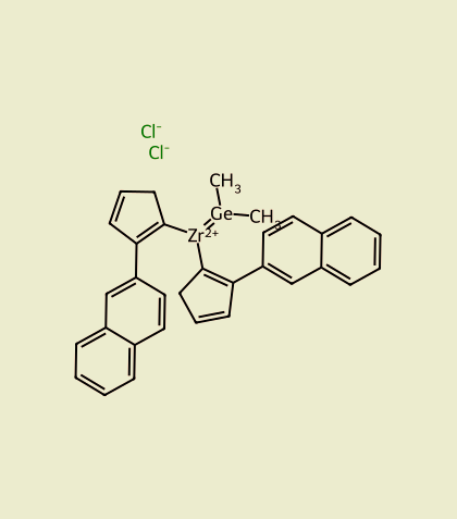 [CH3][Ge]([CH3])=[Zr+2]([C]1=C(c2ccc3ccccc3c2)C=CC1)[C]1=C(c2ccc3ccccc3c2)C=CC1.[Cl-].[Cl-]